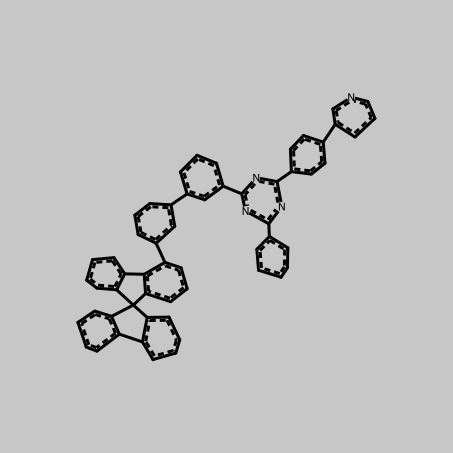 c1ccc(-c2nc(-c3ccc(-c4cccnc4)cc3)nc(-c3cccc(-c4cccc(-c5cccc6c5-c5ccccc5C65c6ccccc6-c6ccccc65)c4)c3)n2)cc1